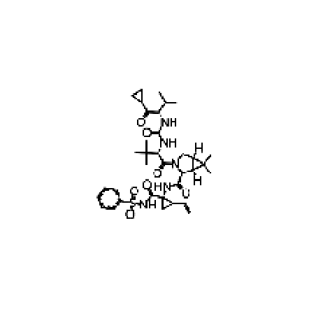 C=CC1C[C@]1(NC(=O)[C@@H]1[C@@H]2[C@H](CN1C(=O)[C@@H](NC(=O)N[C@H](C(=O)C1CC1)C(C)C)C(C)(C)C)C2(C)C)C(=O)NS(=O)(=O)c1ccccc1